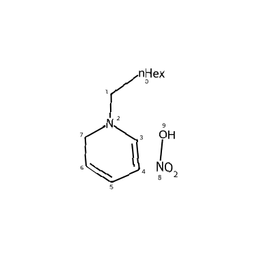 CCCCCCCN1C=CC=CC1.O=[N+]([O-])O